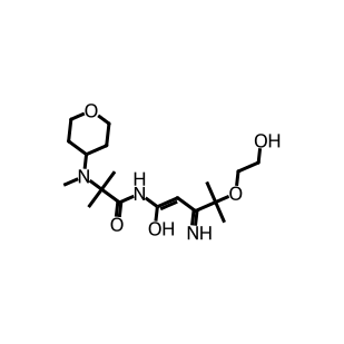 CN(C1CCOCC1)C(C)(C)C(=O)N/C(O)=C/C(=N)C(C)(C)OCCO